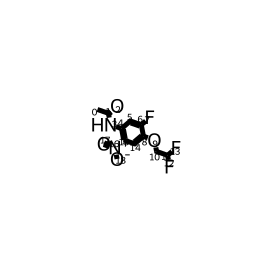 CC(=O)Nc1cc(F)c(OCC(F)F)cc1[N+](=O)[O-]